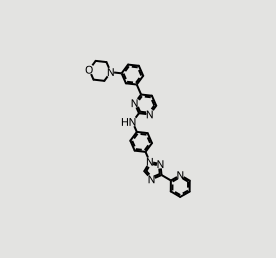 c1ccc(-c2ncn(-c3ccc(Nc4nccc(-c5cccc(N6CCOCC6)c5)n4)cc3)n2)nc1